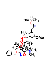 COc1cc(C/C=C\O[Si](C)(C)C(C)(C)C)c(C)c2c1C[C@H]1C[C@H]3[C@H](N(C)C)c4onc(OCc5ccccc5)c4C(=O)[C@@]3(O[Si](C)(C)C(C)(C)C)C(O)=C1C2=O